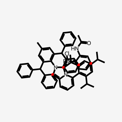 CC(=O)Nc1cccc[c]1[Pd]([Cl])=[c]1n(-c2c(C(c3ccccc3)c3ccccc3)cc(C)cc2C(c2ccccc2)c2ccccc2)cc2cccc(-c3c(C(C)C)cc(C(C)C)cc3C(C)C)n12